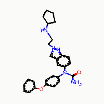 NC(=O)N(c1ccc(Oc2ccccc2)cc1)c1ccc2nn(CCNC3CCCC3)cc2c1